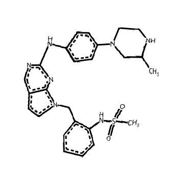 CC1CN(c2ccc(Nc3ncc4ccn(Cc5ccccc5NS(C)(=O)=O)c4n3)cc2)CCN1